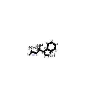 C/C(N)=C/C(=N)c1c[nH]c2ccccc12